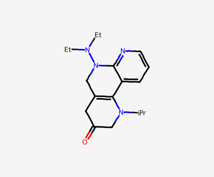 CCN(CC)N1CC2=C(c3cccnc31)N(C(C)C)CC(=O)C2